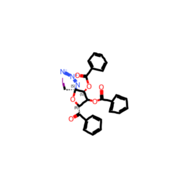 [N-]=[N+]=N[C@]1(CI)O[C@@H](C(=O)c2ccccc2)C(OC(=O)c2ccccc2)[C@@H]1OC(=O)c1ccccc1